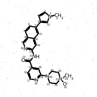 Cn1ccc(-c2ccc3cnc(NC(=O)c4ccnc(N5CC[N+](C)([O-])CC5)c4)cc3c2)c1